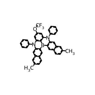 Cc1ccc2cc3c(cc2c1)N(c1ccccc1)c1cc(OC(F)(F)F)cc2c1B3c1cc3ccc(C)cc3cc1N2c1ccccc1